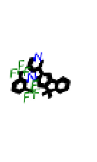 CC1(C)c2ccccc2-c2cc3c4cnccc4n(-c4c(C(F)(F)F)cccc4C(F)(F)F)c3cc21